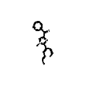 C\C=C/C(=C\C=C\C)c1nc(C(=O)c2ccccc2)cn1C